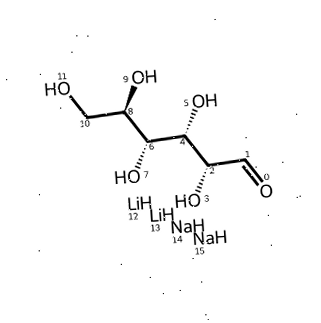 O=C[C@H](O)[C@@H](O)[C@H](O)[C@H](O)CO.[LiH].[LiH].[NaH].[NaH]